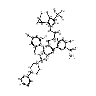 NC(=O)c1cc(-c2cc3sc(N4CCN(c5ccncc5)CC4)nc3nc2[C@H](Cc2cc(F)cc(F)c2)NC(=O)Cn2nc(C(F)(F)F)c3c2C2CC2CC3)ccc1F